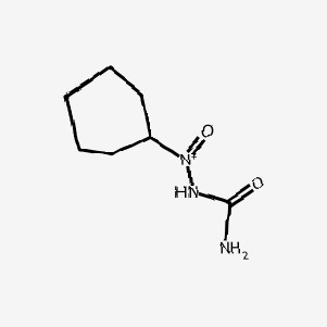 NC(=O)N[N+](=O)C1CCCCC1